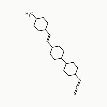 CC1CCC(C=CC2CCC(C3CCC(N=C=S)CC3)CC2)CC1